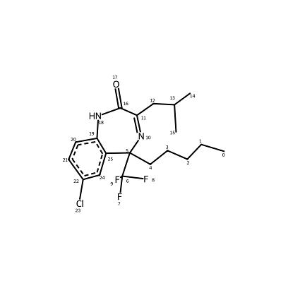 CCCCCC1(C(F)(F)F)N=C(CC(C)C)C(=O)Nc2ccc(Cl)cc21